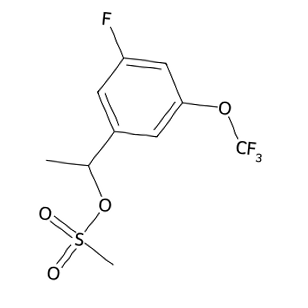 CC(OS(C)(=O)=O)c1cc(F)cc(OC(F)(F)F)c1